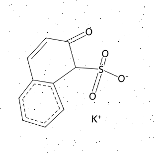 O=C1C=Cc2ccccc2C1S(=O)(=O)[O-].[K+]